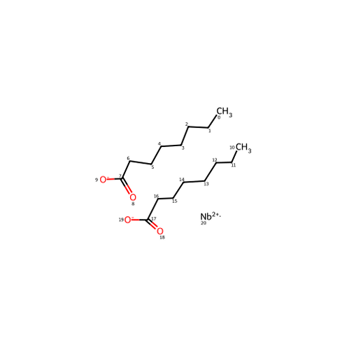 CCCCCCCC(=O)[O-].CCCCCCCC(=O)[O-].[Nb+2]